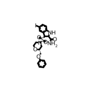 NC(=O)C1Nc2ccc(I)cc2C1S(=O)(=O)N1CCO[C@@H](COc2ccccc2)C1